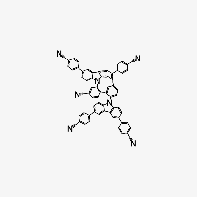 N#Cc1ccc(-c2ccc3c(c2)c2cc(-c4ccc(C#N)cc4)ccc2n3-c2ccc3cc2c2ccc(C#N)cc2n2c4ccc(-c5ccc(C#N)cc5)cc4c4cc(-c5ccc(C#N)cc5)c3cc42)cc1